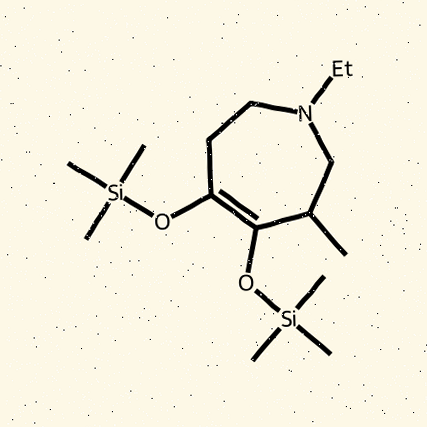 CCN1CCC(O[Si](C)(C)C)=C(O[Si](C)(C)C)C(C)C1